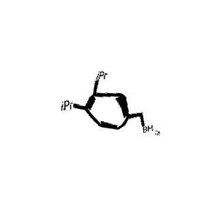 BCc1ccc(C(C)C)c(C(C)C)c1